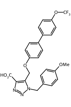 COc1ccc(Cn2nnc(C(=O)O)c2COc2ccc(-c3ccc(OC(F)(F)F)cc3)cc2)cc1